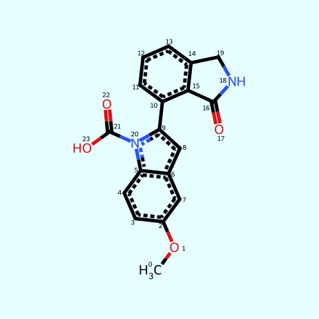 COc1ccc2c(c1)cc(-c1cccc3c1C(=O)NC3)n2C(=O)O